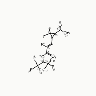 CC1(C)C(C=C(F)C(=O)OC(C(F)(F)F)C(F)(F)F)C1C(=O)O